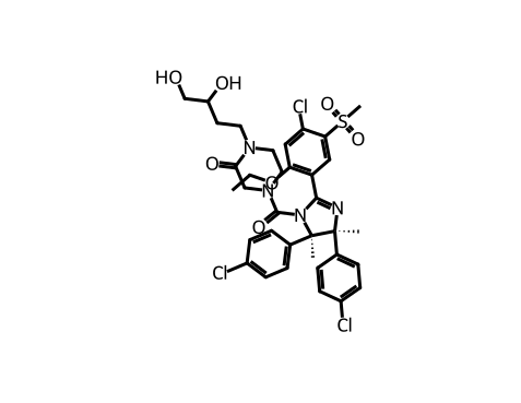 CCOc1cc(Cl)c(S(C)(=O)=O)cc1C1=N[C@@](C)(c2ccc(Cl)cc2)[C@@](C)(c2ccc(Cl)cc2)N1C(=O)N1CCN(CCC(O)CO)C(=O)C1